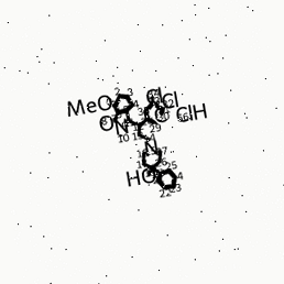 COc1cccc2c1C(=O)N(C)C2C(CCN1CCC(O)(c2ccccc2)CC1)c1ccc(Cl)c(Cl)c1.Cl